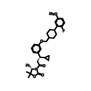 COc1ccc(F)c(C2CCC(COc3cccc([C@@H](CC(=O)N4C(=O)OC(C)(C)[C@@H]4C(C)C)C4CC4)c3)CC2)c1